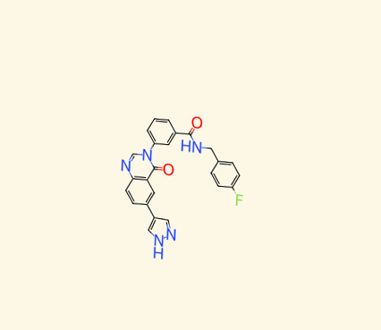 O=C(NCc1ccc(F)cc1)c1cccc(-n2cnc3ccc(-c4cn[nH]c4)cc3c2=O)c1